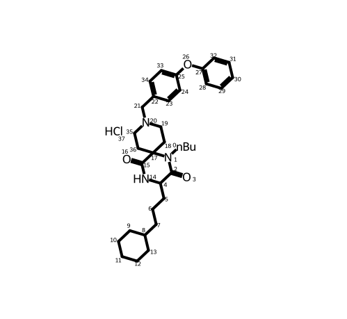 CCCCN1C(=O)C(CCCC2CCCCC2)NC(=O)C12CCN(Cc1ccc(Oc3ccccc3)cc1)CC2.Cl